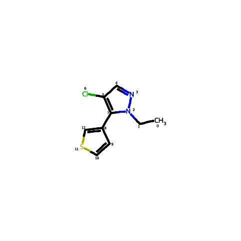 CCn1ncc(Cl)c1-c1ccsc1